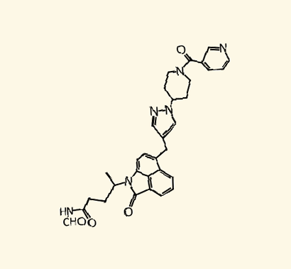 CC(CCC(=O)NC=O)N1C(=O)c2cccc3c(Cc4cnn(C5CCN(C(=O)c6cccnc6)CC5)c4)ccc1c23